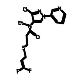 CCN(C(=O)CCSCC=C(F)F)c1cn(-c2cccnc2)nc1Cl